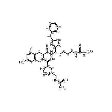 Cc1cc(O)cc(C)c1C[C@H](NC(=O)[C@@H](CCCNC(=N)N)NC(=O)O)C(=O)N[C@@H](CCCCNC(=O)OC(C)(C)C)c1nc(Cc2ccccc2)no1